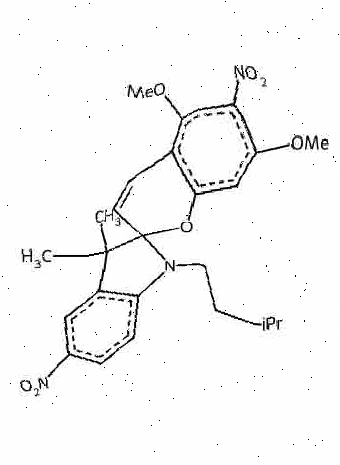 COc1cc2c(c(OC)c1[N+](=O)[O-])C=CC1(O2)N(CCC(C)C)c2ccc([N+](=O)[O-])cc2C1(C)C